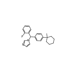 CC1(c2ccc(C(c3ccccc3F)n3ccnc3)cc2)CCCCC1